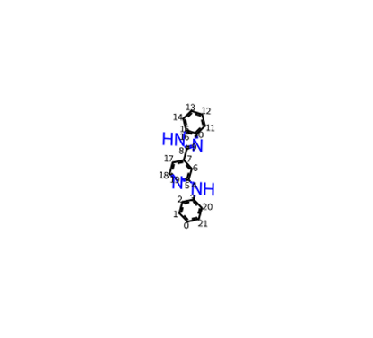 c1ccc(Nc2cc(-c3nc4ccccc4[nH]3)ccn2)cc1